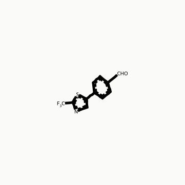 O=Cc1ccc(-c2cnc(C(F)(F)F)s2)cc1